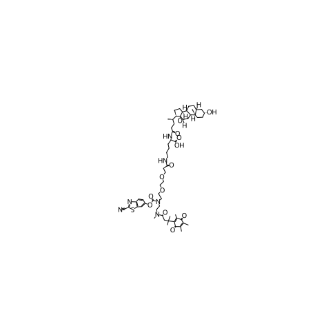 CC1=C(C)C(=O)C(C(C)(C)CC(=O)N(C)CCN(CCOCCOCCC(=O)NCCCCC(NC(=O)CC[C@@H](C)[C@H]2CC[C@H]3[C@@H]4CC[C@@H]5C[C@H](O)CC[C@]5(C)[C@H]4C[C@@H]4O[C@@]423)C(=O)O)C(=O)Oc2ccc3nc(C#N)sc3c2)=C(C)C1=O